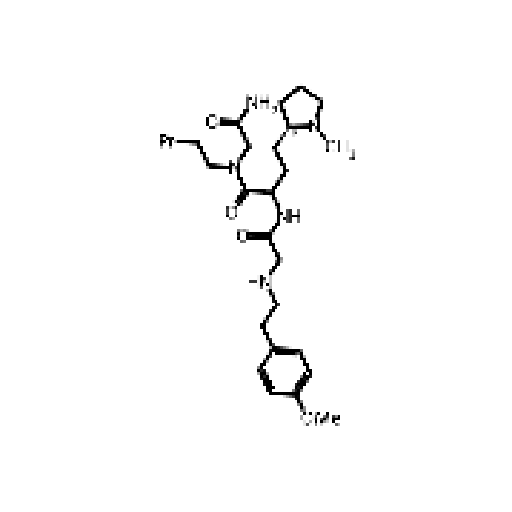 COc1ccc(CCNCC(=O)NC(CC[C@H]2CCCN2C)C(=O)N(CCC(C)C)CC(N)=O)cc1